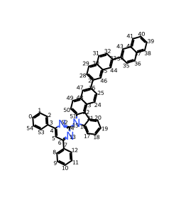 c1ccc(-c2cc(-c3ccccc3)nc(-n3c4ccccc4c4c5ccc(-c6ccc7ccc(-c8ccc9ccccc9c8)cc7c6)cc5ccc43)n2)cc1